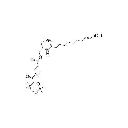 CCCCCCCCC=CCCCCCCCC(=O)N[C@H](COC(=O)CCNC(=O)C1OC(C)(C)OCC1(C)C)CC(C)C